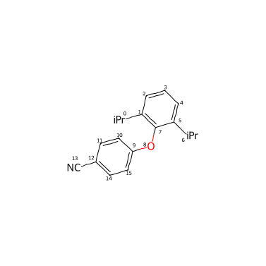 CC(C)c1cccc(C(C)C)c1Oc1ccc(C#N)cc1